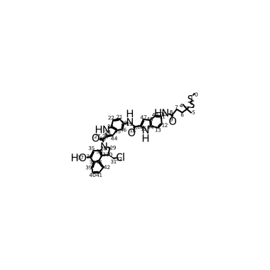 CSSC(C)(C)CCC(=O)Nc1ccc2[nH]c(C(=O)Nc3ccc4[nH]c(C(=O)N5C[C@@H](CCl)c6c5cc(O)c5ccccc65)cc4c3)cc2c1